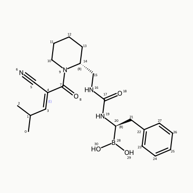 CC(C)/C=C(\C#N)C(=O)N1CCCC[C@@H]1CNC(=O)N[C@@H](Cc1ccccc1)B(O)O